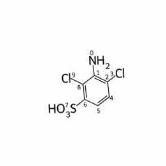 Nc1c(Cl)ccc(S(=O)(=O)O)c1Cl